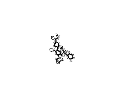 O=C(CBr)c1ccc(-c2c(Cl)cc(C(=O)CBr)c(OCc3ccccc3)c2[N+](=O)[O-])cc1